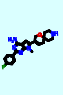 Cn1c(C2=CCC3(CCNCC3)OC2)cc2c(N)nc(-c3ccc(F)cc3)nc21